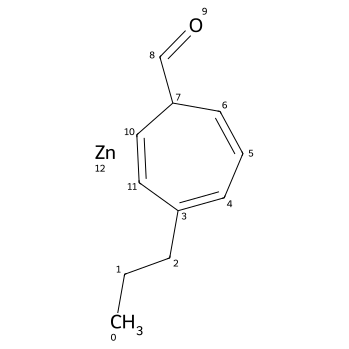 CCCC1=CC=CC(C=O)C=C1.[Zn]